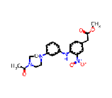 COC(=O)Cc1ccc(Nc2cccc(N3CCN(C(C)=O)CC3)c2)c([N+](=O)[O-])c1